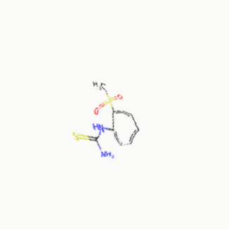 CS(=O)(=O)c1ccccc1NC(N)=S